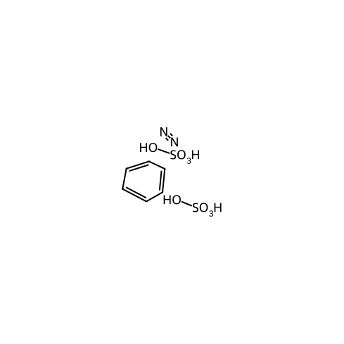 N#N.O=S(=O)(O)O.O=S(=O)(O)O.c1ccccc1